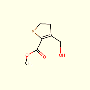 COC(=O)C1=C(CO)CCS1